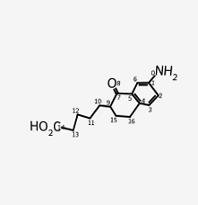 Nc1ccc2c(c1)C(=O)C(CCCCC(=O)O)CC2